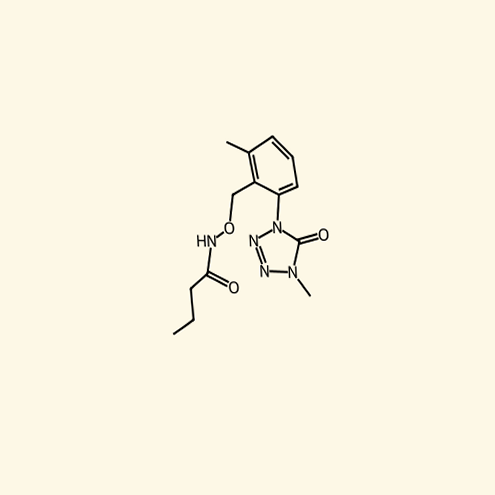 CCCC(=O)NOCc1c(C)cccc1-n1nnn(C)c1=O